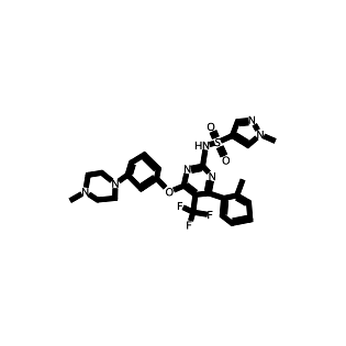 Cc1ccccc1-c1nc(NS(=O)(=O)c2cnn(C)c2)nc(Oc2cccc(N3CCN(C)CC3)c2)c1C(F)(F)F